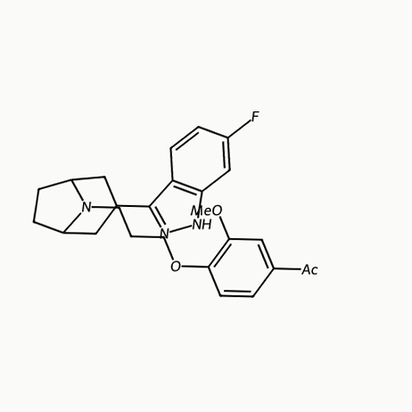 COc1cc(C(C)=O)ccc1OCCCN1C2CCC1CC(c1n[nH]c3cc(F)ccc13)C2